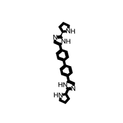 c1cc(-c2cnc(C3CCCN3)[nH]2)ccc1-c1ccc(-c2cnc([C@H]3CCCN3)[nH]2)cc1